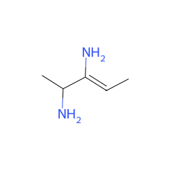 CC=C(N)C(C)N